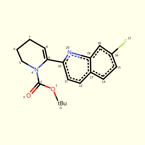 CC(C)(C)OC(=O)N1CCCC=C1c1ccc2ccc(F)cc2n1